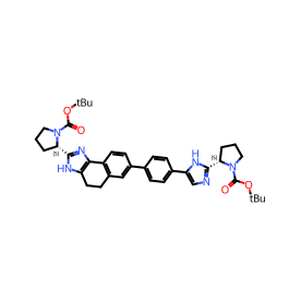 CC(C)(C)OC(=O)N1CCC[C@H]1c1ncc(-c2ccc(-c3ccc4c(c3)CCc3[nH]c([C@@H]5CCCN5C(=O)OC(C)(C)C)nc3-4)cc2)[nH]1